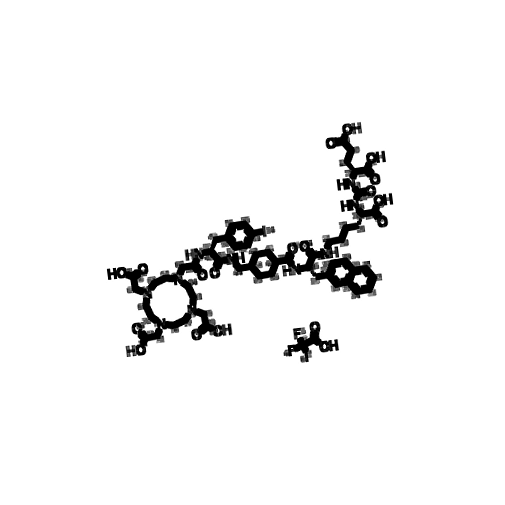 O=C(O)C(F)(F)F.O=C(O)CC[C@H](NC(=O)N[C@@H](CCCCNC(=O)[C@H](Cc1ccc2ccccc2c1)NC(=O)C1CCC(CNC(=O)[C@H](Cc2ccc(I)cc2)NC(=O)CN2CCN(CC(=O)O)CCN(CC(=O)O)CCN(CC(=O)O)CC2)CC1)C(=O)O)C(=O)O